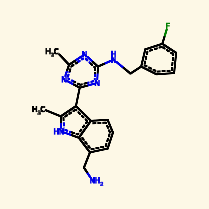 Cc1nc(NCc2cccc(F)c2)nc(-c2c(C)[nH]c3c(CN)cccc23)n1